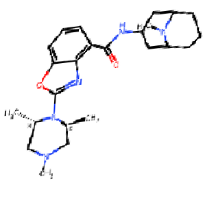 C[C@H]1CN(C)C[C@H](C)N1c1nc2c(C(=O)NC3CC4CCCC(C3)N4C)cccc2o1